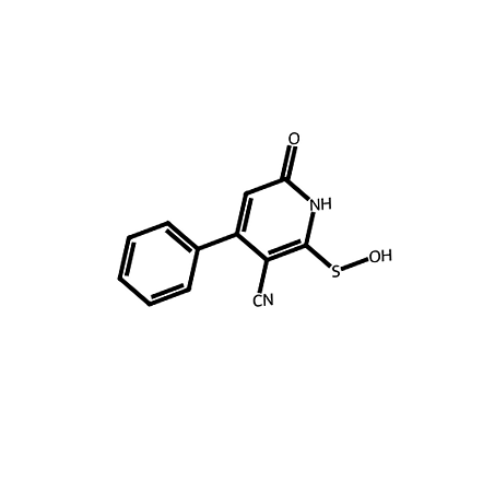 N#Cc1c(-c2ccccc2)cc(=O)[nH]c1SO